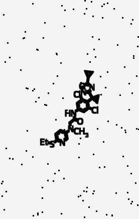 CCSc1ccc(N(C)CC(=O)Nc2cc(Cl)c(C3(c4noc(C5CC5)n4)CC3)c(Cl)c2)cn1